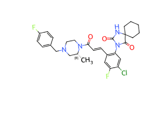 C[C@@H]1CN(Cc2ccc(F)cc2)CCN1C(=O)C=Cc1cc(F)c(Cl)cc1N1C(=O)NC2(CCCCC2)C1=O